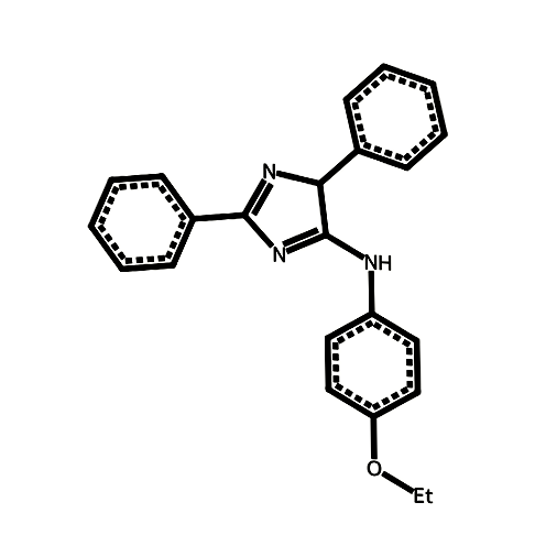 CCOc1ccc(NC2=NC(c3ccccc3)=NC2c2ccccc2)cc1